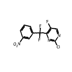 O=[N+]([O-])c1cccc(C(F)(F)c2nc(Cl)ncc2F)c1